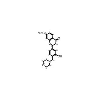 COc1ccc2c(c1)OC(c1ccc(CN3CCOCC3)c(O)c1)CC2=O